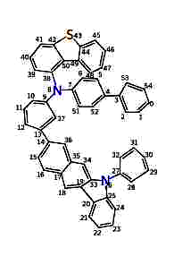 c1ccc(-c2ccc(N(c3cccc(-c4ccc5cc6c7ccccc7n(-c7ccccc7)c6cc5c4)c3)c3cccc4sc5ccccc5c34)cc2)cc1